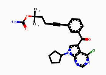 CC(C)(CCC#Cc1cccc(C(=O)c2cn(C3CCCC3)c3ncnc(Cl)c23)c1)OC(N)=O